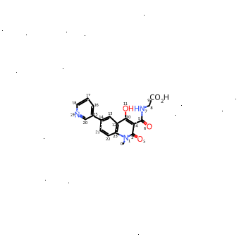 Cn1c(=O)c(C(=O)NCC(=O)O)c(O)c2cc(-c3cccnc3)ccc21